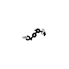 Cc1ccc(C(=O)OC(C)(C)C)cc1-c1ccc(C2CC23CCNCC3)cc1